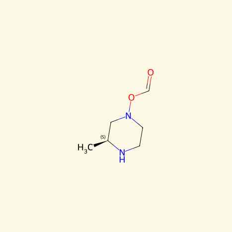 C[C@H]1CN(OC=O)CCN1